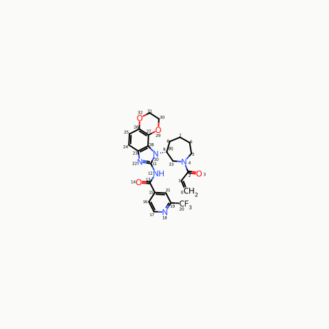 C=CC(=O)N1CCCC[C@@H](n2c(NC(=O)c3ccnc(C(F)(F)F)c3)nc3ccc4c(c32)OCCO4)C1